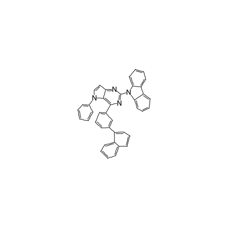 c1ccc(-n2ccc3nc(-n4c5ccccc5c5ccccc54)nc(-c4cccc(-c5cccc6ccccc56)c4)c32)cc1